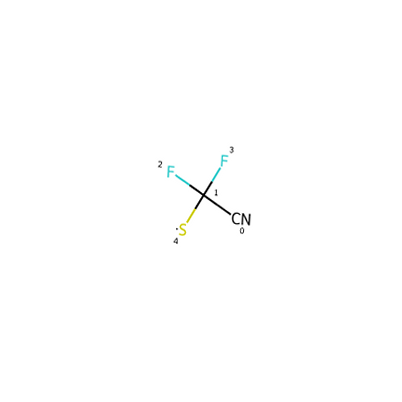 N#CC(F)(F)[S]